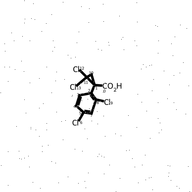 O=C(O)C1(c2ccc(Cl)cc2Cl)CC1(Cl)Cl